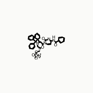 CN(C)P(=O)(Cl)OC[C@@H]1CN(C(c2ccccc2)(c2ccccc2)C2(C)C=CC=CC2)C[C@H](n2ccc(NC(=O)c3ccccc3)nc2=O)O1